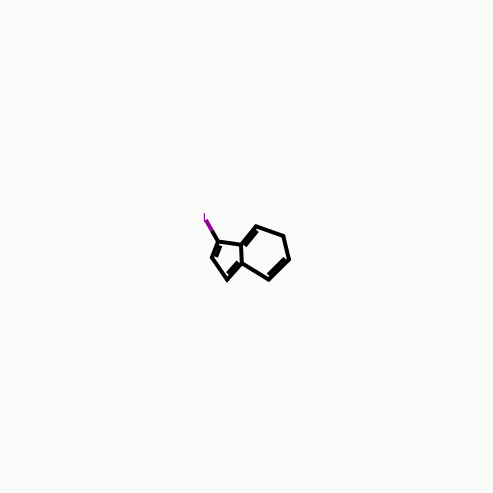 IC1=CC=C2C=CCC=C12